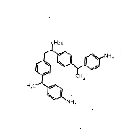 CCCCCCC(Cc1ccc(C(C)c2ccc(N)cc2)cc1)c1ccc(C(C)c2ccc(N)cc2)cc1